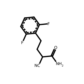 N#CC(CCc1c(F)cccc1F)C(N)=O